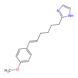 COc1ccc(C=CCCCCc2ncc[nH]2)cc1